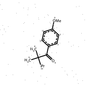 COc1ccc(C(=O)C(C)(C)C(C)C)cc1